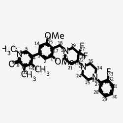 COc1cc(-c2cn(C)c(=O)c(C)c2C)cc(OC)c1CN1CC[C@H](N2CCN(c3ccccc3F)CC2)C(F)(F)C1